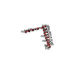 CC(C#N)CCc1ccccc1O.CC(C#N)Cc1ccccc1O.N#CCCCc1ccc(O)cc1.N#CCCCc1ccccc1O.N#CCCc1ccc(O)cc1.N#CCCc1cccc(O)c1.N#CCCc1ccccc1O.N#CCc1ccc(O)cc1.N#CCc1cccc(O)c1.N#CCc1ccccc1O.N#Cc1ccc(O)cc1.N#Cc1cccc(O)c1.N#Cc1ccccc1O